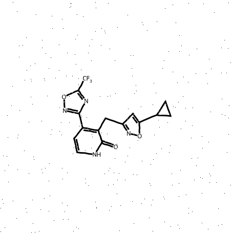 O=c1[nH]ccc(-c2noc(C(F)(F)F)n2)c1Cc1cc(C2CC2)on1